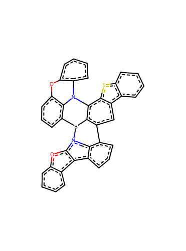 c1ccc2c(c1)Oc1cccc3c1N2c1c2c(cc4c1sc1ccccc14)-c1cccc4c5c6ccccc6oc5n(c14)B32